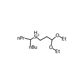 [CH2]CCC(CCCC)[SiH2]CCC(OCC)OCC